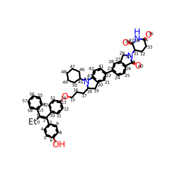 CC/C(=C(\c1ccc(O)cc1)c1ccc(OCCCC2Cc3cc(-c4ccc5c(c4)CN(C4CCC(=O)NC4=O)C5=O)ccc3N2C2CCCCC2)cc1)c1ccccc1